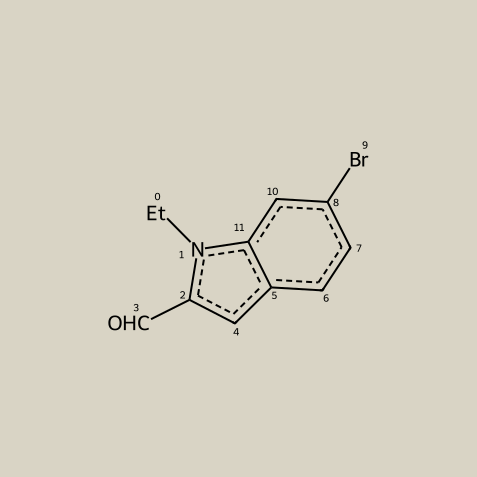 CCn1c(C=O)cc2ccc(Br)cc21